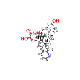 CC(=O)O.C[C@]12CC[C@H](O)CC1=CC[C@@H]1[C@@H]2CC[C@]2(C)C(c3cccnc3)=CC[C@@H]12.O=C(O)C(=O)O